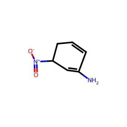 NC1=CC([N+](=O)[O-])CC=C1